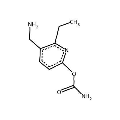 CCc1nc(OC(N)=O)ccc1CN